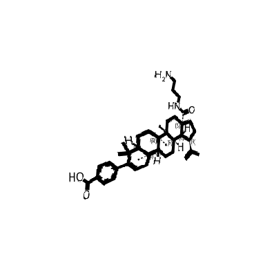 C=C(C)[C@@H]1CC[C@]2(C(=O)NCCCN)CC[C@]3(C)[C@H](CC[C@@H]4[C@@]5(C)CC=C(c6ccc(C(=O)O)cc6)C(C)(C)[C@@H]5CC[C@]43C)[C@@H]12